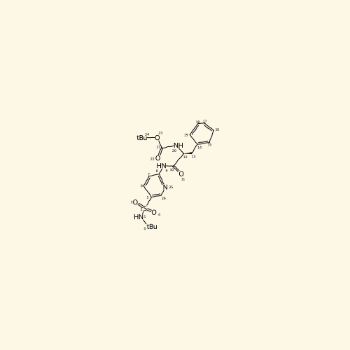 CC(C)(C)NS(=O)(=O)c1ccc(NC(=O)[C@H](Cc2ccccc2)NC(=O)OC(C)(C)C)nc1